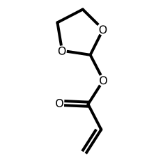 C=CC(=O)OC1OCCO1